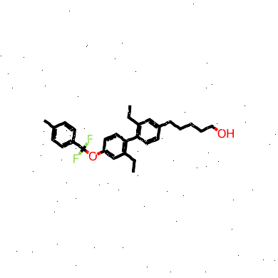 CCc1cc(CCCCCO)ccc1-c1ccc(OC(F)(F)c2ccc(C)cc2)cc1CC